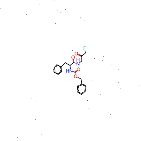 C[C@H](NC(=O)C(Cc1ccccc1)NC(=O)OCc1ccccc1)C(=O)CF